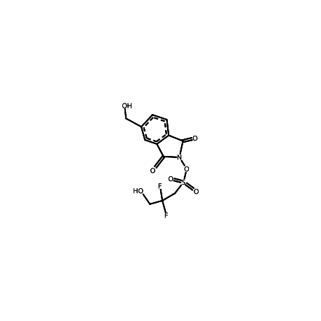 O=C1c2ccc(CO)cc2C(=O)N1OS(=O)(=O)CC(F)(F)CO